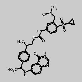 C[C@@H](COC(=O)Nc1ccc(S(=O)(=O)C2CC2)c(CN(C)Cl)c1)c1ccc(C(Nc2ccc3nc[nH]c(=O)c3c2)C(=O)O)cc1